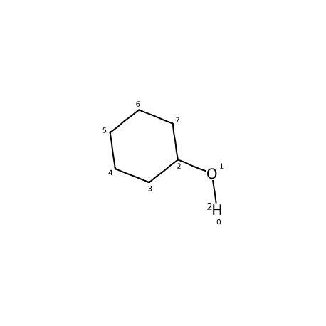 [2H]OC1CCCCC1